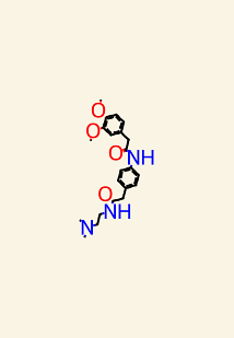 COc1ccc(CC(=O)Nc2ccc(CC(=O)NCCN(C)C)cc2)cc1OC